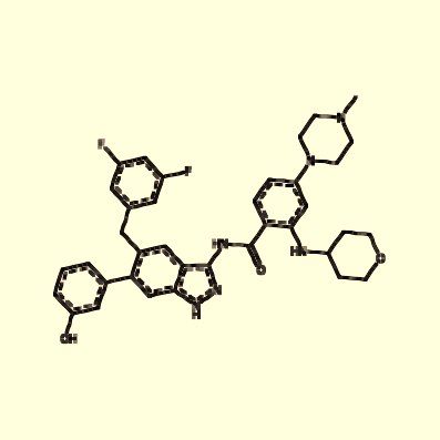 CN1CCN(c2ccc(C(=O)Nc3n[nH]c4cc(-c5cccc(O)c5)c(Cc5cc(F)cc(F)c5)cc34)c(NC3CCOCC3)c2)CC1